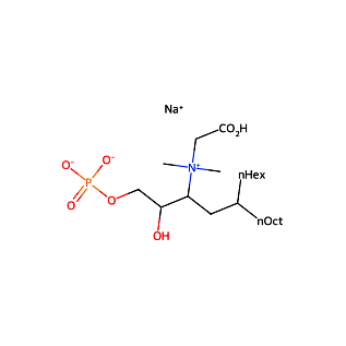 CCCCCCCCC(CCCCCC)CC(C(O)COP(=O)([O-])[O-])[N+](C)(C)CC(=O)O.[Na+]